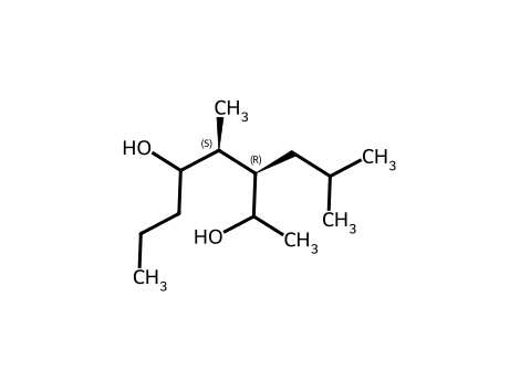 CCCC(O)[C@@H](C)[C@@H](CC(C)C)C(C)O